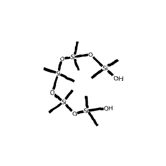 C[Si](C)(O)O[Si](C)(C)O[Si](C)(C)O[Si](C)(C)O[Si](C)(C)O